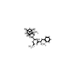 C=CC[C@H](NC(=O)[C@@H](C)Cc1ccccc1)B1O[C@@H]2C[C@@H]3C[C@@H](C3(C)C)[C@]2(C)O1